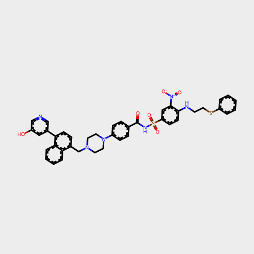 O=C(NS(=O)(=O)c1ccc(NCCSc2ccccc2)c([N+](=O)[O-])c1)c1ccc(N2CCN(Cc3ccc(-c4cncc(O)c4)c4ccccc34)CC2)cc1